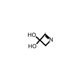 OC1(O)[C]=NC1